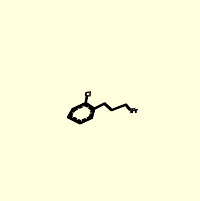 CC(C)CCCc1ccccc1Cl